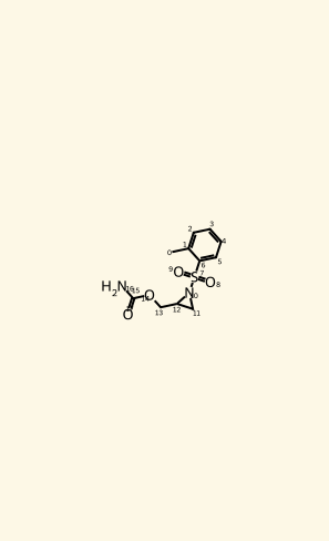 Cc1ccccc1S(=O)(=O)N1CC1COC(N)=O